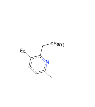 CCCCCCc1nc(C)ccc1CC